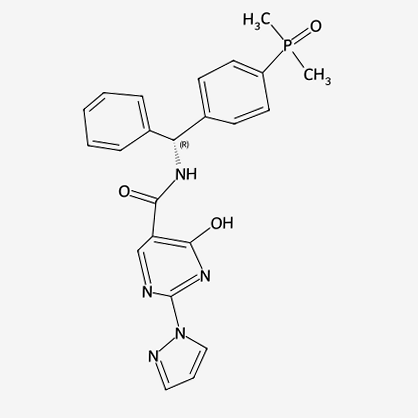 CP(C)(=O)c1ccc([C@H](NC(=O)c2cnc(-n3cccn3)nc2O)c2ccccc2)cc1